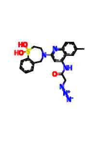 Cc1ccc2nc(N3CCS(O)(O)c4ccccc4C3)cc(NC(=O)CN=[N+]=[N-])c2c1